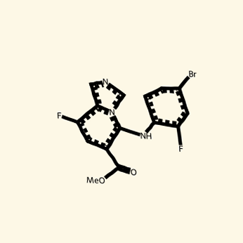 COC(=O)c1cc(F)c2cncn2c1Nc1ccc(Br)cc1F